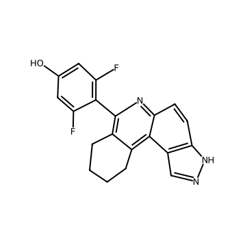 Oc1cc(F)c(-c2nc3ccc4[nH]ncc4c3c3c2CCCC3)c(F)c1